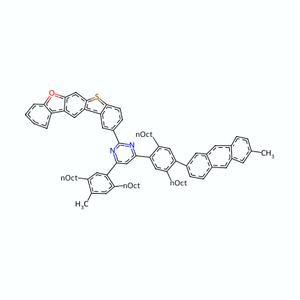 CCCCCCCCc1cc(-c2cc(-c3cc(CCCCCCCC)c(-c4ccc5cc6cc(C)ccc6cc5c4)cc3CCCCCCCC)nc(-c3ccc4sc5cc6oc7ccccc7c6cc5c4c3)n2)c(CCCCCCCC)cc1C